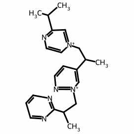 CC(C)c1c[n+](CC(C)c2ccn[n+](CC(C)c3ncccn3)c2)ccn1